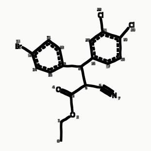 CCOC(=O)C(C#N)C(c1ccc(Br)cc1)c1ccc(Cl)c(Cl)c1